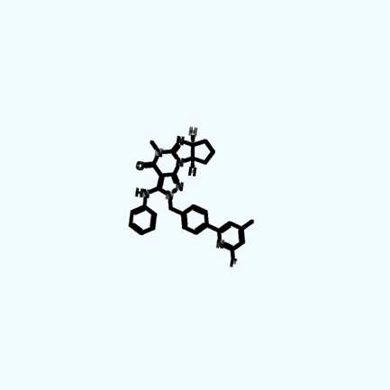 Cc1cc(F)nc(-c2ccc(Cn3nc4c(c3Nc3ccccc3)C(=O)N(C)C3=N[C@@H]5CCC[C@@H]5N34)cc2)c1